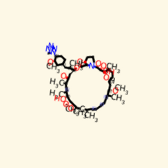 COC1C(=O)C(C)C[C@H](C)/C=C/C=C/C=C(\C)[C@@H](OC)C[C@@H]2CC[C@@H](C)[C@@](O)(O2)C(=O)C(=O)N2CCCC[C@H]2C(=O)O[C@H]([C@H](C)C[C@@H]2CC[C@H](n3cnnn3)C(OC)C2)CC(=O)[C@H](C)/C=C(\C)[C@H]1O